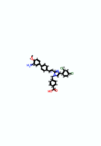 COc1ccc(-c2ccc(/C=C/c3nc(-c4ccc(Cl)cc4Cl)cn3Cc3ccc(C(=O)O)cc3)cc2)cc1N